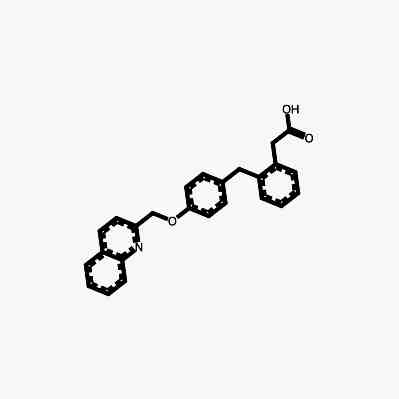 O=C(O)Cc1ccccc1Cc1ccc(OCc2ccc3ccccc3n2)cc1